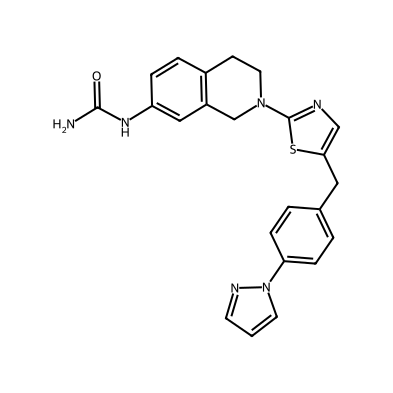 NC(=O)Nc1ccc2c(c1)CN(c1ncc(Cc3ccc(-n4cccn4)cc3)s1)CC2